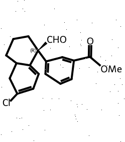 COC(=O)c1cccc([C@@]2(C=O)CCCC3CC(Cl)=CC=C32)c1